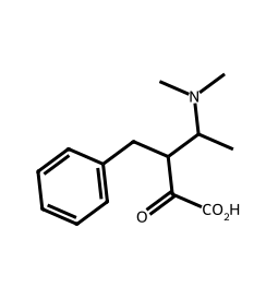 CC(C(Cc1ccccc1)C(=O)C(=O)O)N(C)C